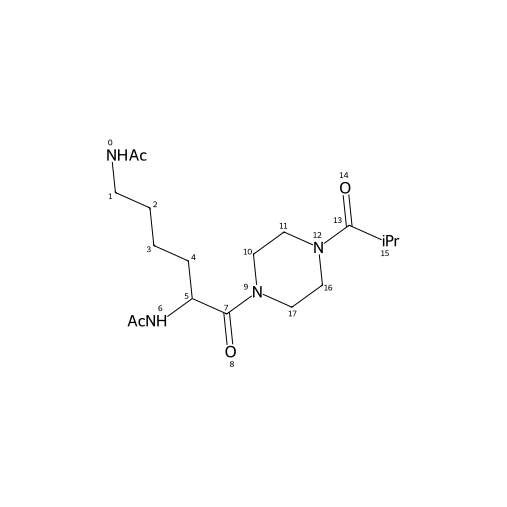 CC(=O)NCCCCC(NC(C)=O)C(=O)N1CCN(C(=O)C(C)C)CC1